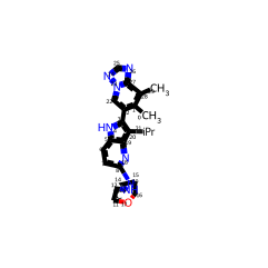 Cc1c(-c2[nH]c3ccc(N4CC5CNCC4CO5)nc3c2C(C)C)cn2ncnc2c1C